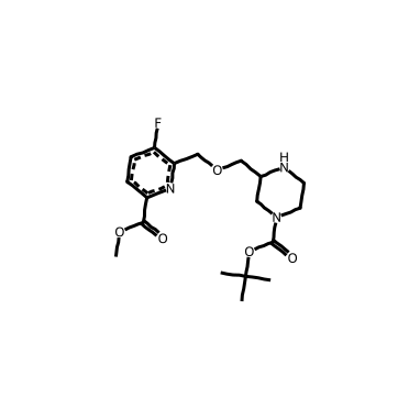 COC(=O)c1ccc(F)c(COCC2CN(C(=O)OC(C)(C)C)CCN2)n1